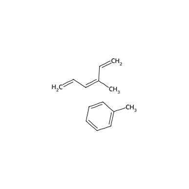 C=CC=C(C)C=C.Cc1ccccc1